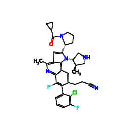 Cc1nc2c(F)c(-c3cccc(F)c3Cl)c(CCC#N)cc2c2c1cc([C@H]1CCCN1C(=O)C1CC1)n2[C@@H]1CNC[C@H]1C